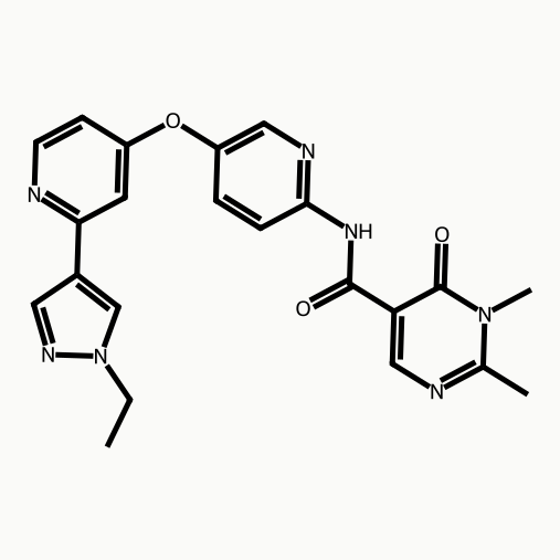 CCn1cc(-c2cc(Oc3ccc(NC(=O)c4cnc(C)n(C)c4=O)nc3)ccn2)cn1